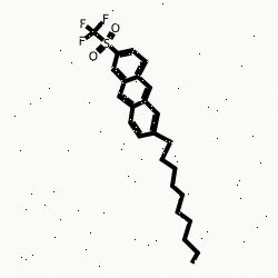 CCCCCCCCCCc1ccc2cc3cc(S(=O)(=O)C(F)(F)F)ccc3cc2c1